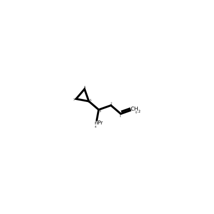 C=CCC(CCC)[C]1CC1